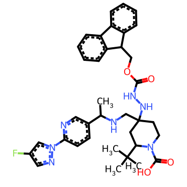 CC(NCC1(NNC(=O)OCC2c3ccccc3-c3ccccc32)CCN(C(=O)O)C(C(C)(C)C)C1)c1ccc(-n2cc(F)cn2)nc1